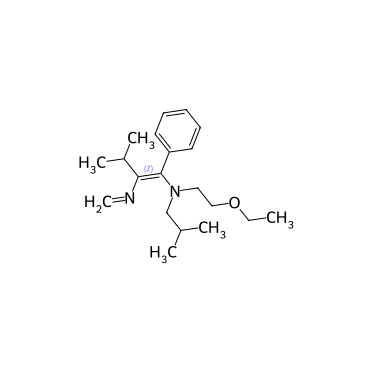 C=N/C(=C(/c1ccccc1)N(CCOCC)CC(C)C)C(C)C